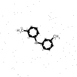 Cc1cccc([B]c2cccc(C)c2)c1